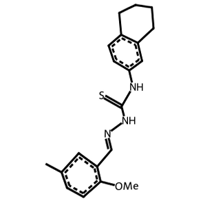 COc1ccc(C)cc1/C=N/NC(=S)Nc1ccc2c(c1)CCCC2